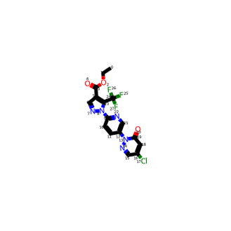 CCOC(=O)c1cnn(-c2ccc(-n3ncc(Cl)cc3=O)cn2)c1C(F)(F)F